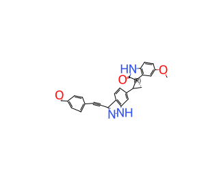 COc1ccc2c(c1)[C@]1(CC1c1ccc3c(C#Cc4ccc(C=O)cc4)n[nH]c3c1)C(=O)N2